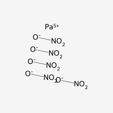 O=[N+]([O-])[O-].O=[N+]([O-])[O-].O=[N+]([O-])[O-].O=[N+]([O-])[O-].O=[N+]([O-])[O-].[Pa+5]